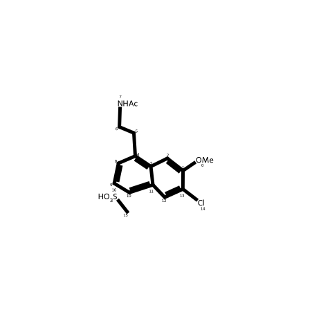 COc1cc2c(CCNC(C)=O)cccc2cc1Cl.CS(=O)(=O)O